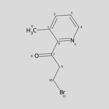 Cc1cccnc1C(=O)CCBr